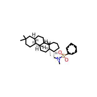 CN(C[C@H]1CCC[C@H]2[C@@H]3CC[C@@H]4CC(C)(C)CC[C@@H]4[C@H]3CC[C@]12C)S(=O)(=O)c1ccccc1